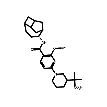 CCCOc1nc(N2CCCC(C(C)(C)C(=O)O)C2)ccc1C(=O)N[C@@H]1CCC2CC3CC1CC23